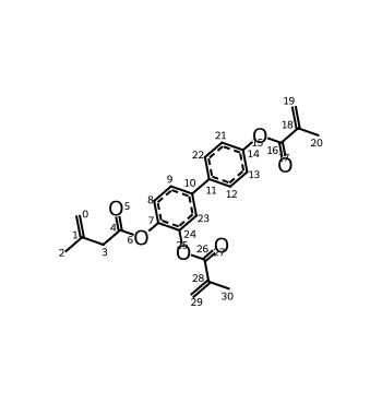 C=C(C)CC(=O)Oc1ccc(-c2ccc(OC(=O)C(=C)C)cc2)cc1OC(=O)C(=C)C